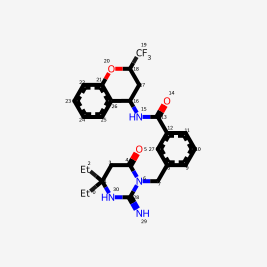 CCC1(CC)CC(=O)N(Cc2cccc(C(=O)NC3CC(C(F)(F)F)Oc4ccccc43)c2)C(=N)N1